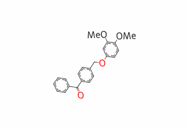 COc1ccc(OCc2ccc(C(=O)c3ccccc3)cc2)cc1OC